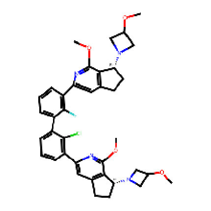 COc1nc(-c2cccc(-c3cccc(-c4cc5c(c(OC)n4)[C@H](N4CC(OC)C4)CC5)c3Cl)c2F)cc2c1[C@H](N1CC(OC)C1)CC2